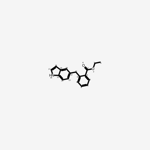 CCOC(=O)c1ccccc1Cc1ccc2[nH]ccc2c1